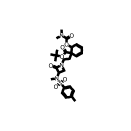 Cc1ccc(S(=O)(=O)N(C)C2CN(CCC3(C(=O)OC(C)(C)C)C=CC=CC3OC(=O)N(C)C)C2=O)cc1